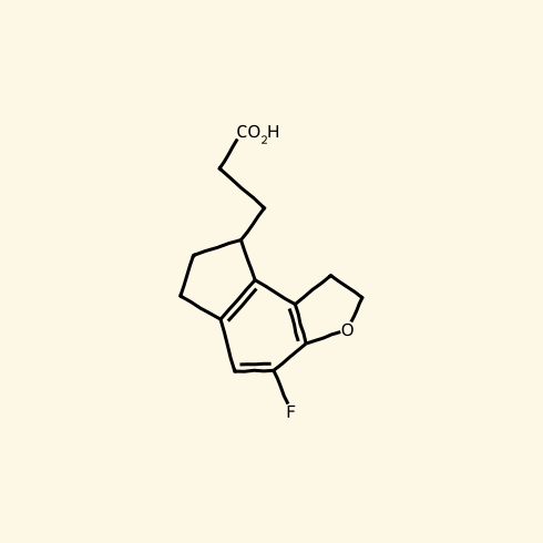 O=C(O)CCC1CCc2cc(F)c3c(c21)CCO3